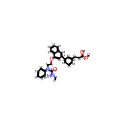 CCNC(=O)N(CCOc1cc(-c2cccc(CCC(=O)OC)c2)cc2ccccc12)c1ccccc1